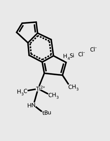 CC1=Cc2cc3c(cc2=[C]1[Ti+2]([CH3])([CH3])[NH]C(C)(C)C)C=CC=3.[Cl-].[Cl-].[SiH4]